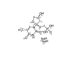 Cc1cn([C@@]2(OCP(=O)(O)O)C[C@H](O)CO2)c(=O)[nH]c1=O.[NaH].[NaH]